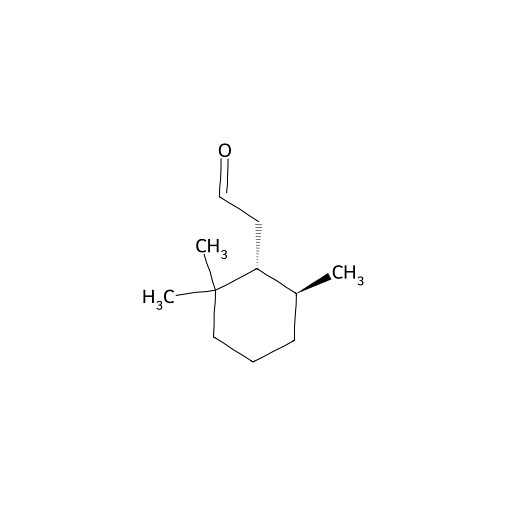 C[C@H]1CCCC(C)(C)[C@@H]1CC=O